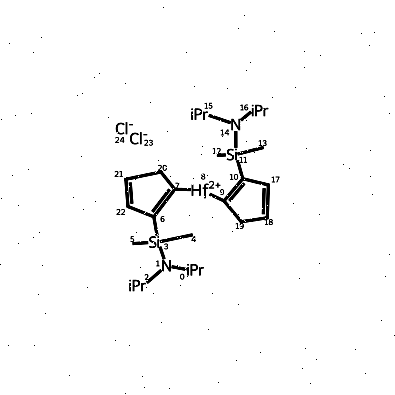 CC(C)N(C(C)C)[Si](C)(C)C1=[C]([Hf+2][C]2=C([Si](C)(C)N(C(C)C)C(C)C)C=CC2)CC=C1.[Cl-].[Cl-]